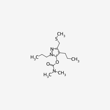 CCCc1c(CSC)nn(CCC)c1OC(=O)N(C)C